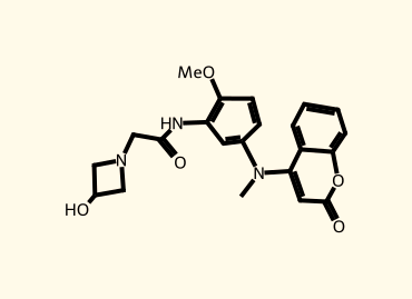 COc1ccc(N(C)c2cc(=O)oc3ccccc23)cc1NC(=O)CN1CC(O)C1